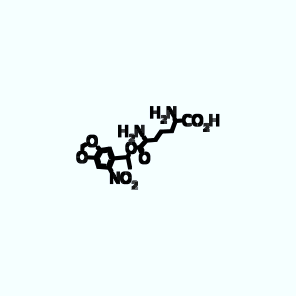 CC(OC(=O)C(N)CCCC(N)C(=O)O)c1cc2c(cc1[N+](=O)[O-])OCO2